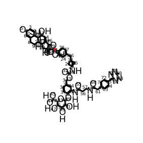 C[C@]12C=CC(=O)C=C1CC[C@@H]1[C@@H]2[C@@H](O)C[C@@]2(C)[C@H]1C[C@H]1O[C@H](c3ccc(CC45CC(NC(=O)OCc6ccc(O[C@@H]7O[C@H](C(=O)O)[C@@H](O)[C@H](O)[C@H]7O)c(NC(=O)CCNC(=O)Cc7ccc(-c8nncnn8)cc7)c6)(C4)C5)cc3)O[C@]12C(=O)CO